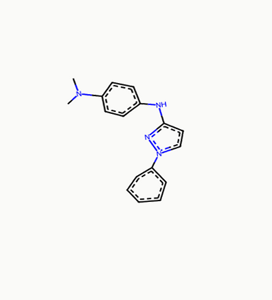 CN(C)c1ccc(Nc2ccn(-c3ccccc3)n2)cc1